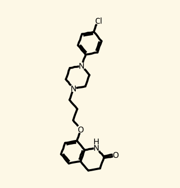 O=C1CCc2cccc(OCCCN3CCN(c4ccc(Cl)cc4)CC3)c2N1